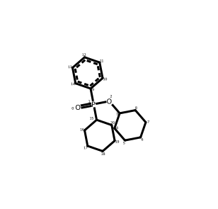 O=P(OC1CCCCC1)(c1ccccc1)C1CCCCC1